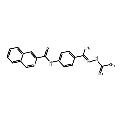 CC(=N)N/N=C(\C)c1ccc(NC(=O)c2cc3ccccc3cn2)cc1